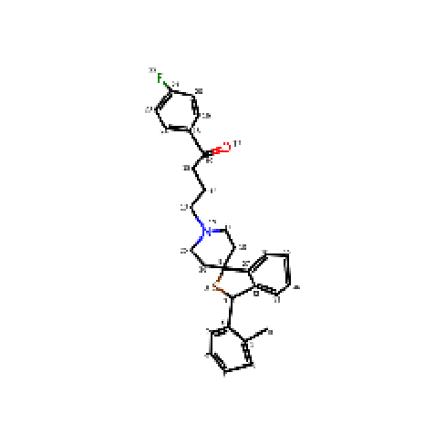 Cc1ccccc1C1SC2(CCN(CCCC(=O)c3ccc(F)cc3)CC2)c2ccccc21